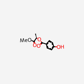 COC(=O)[C@@H](C)OC(=O)c1ccc(O)cc1